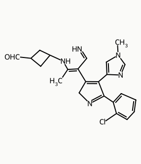 C/C(NC1CC(C=O)C1)=C(/C=N)C1=C(c2cn(C)cn2)C(c2ccccc2Cl)=NC1